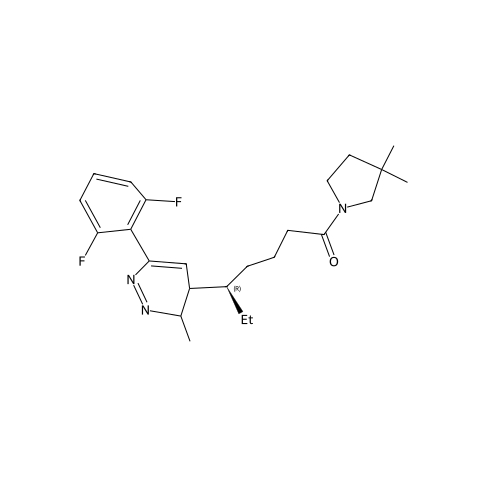 CC[C@H](CCCC(=O)N1CCC(C)(C)C1)C1C=C(c2c(F)cccc2F)N=NC1C